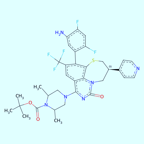 CC1CN(c2nc(=O)n3c4c(c(-c5cc(N)c(F)cc5F)c(C(F)(F)F)cc24)SC[C@@H](c2ccncc2)C3)CC(C)N1C(=O)OC(C)(C)C